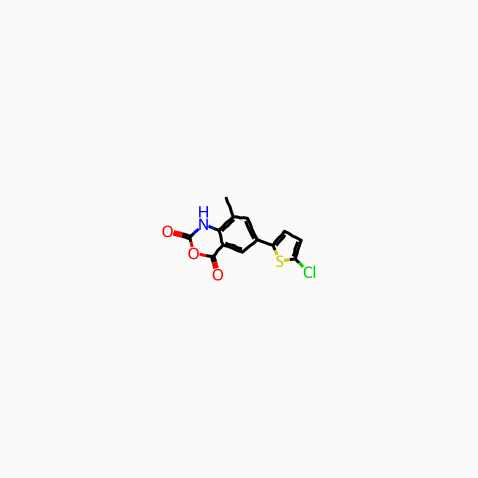 Cc1cc(-c2ccc(Cl)s2)cc2c(=O)oc(=O)[nH]c12